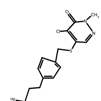 Cn1ncc(SCc2ccc(CCC[18F])cc2)c(Cl)c1=O